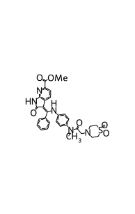 COC(=O)c1ccc2c(n1)NC(=O)C2=C(Nc1ccc(N(C)C(=O)CN2CCS(=O)(=O)CC2)cc1)c1ccccc1